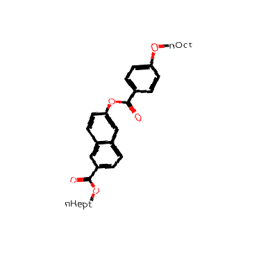 CCCCCCCCOc1ccc(C(=O)Oc2ccc3cc(C(=O)OCCCCCCC)ccc3c2)cc1